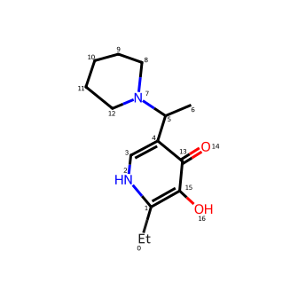 CCc1[nH]cc(C(C)N2CCCCC2)c(=O)c1O